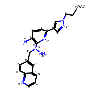 CC(=O)OCCn1cc(-c2ccc(N)c(N(N)Cc3ccc4ncccc4c3)n2)cn1